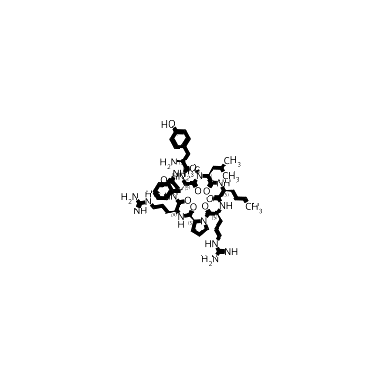 CCCC[C@H](NC(=O)[C@H](CC(C)C)N(C)C(=O)[C@H](Cc1ccccc1)NC(=O)[C@@H](N)Cc1ccc(O)cc1)C(=O)N[C@@H](CCCNC(=N)N)C(=O)N1CCC[C@H]1C(=O)N[C@@H](CCCNC(=N)N)C(=O)NCC(N)=O